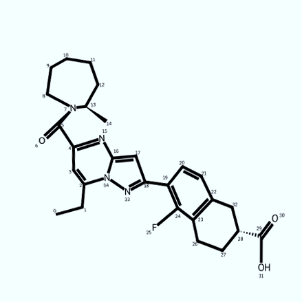 CCc1cc(C(=O)N2CCCCC[C@H]2C)nc2cc(-c3ccc4c(c3F)CC[C@@H](C(=O)O)C4)nn12